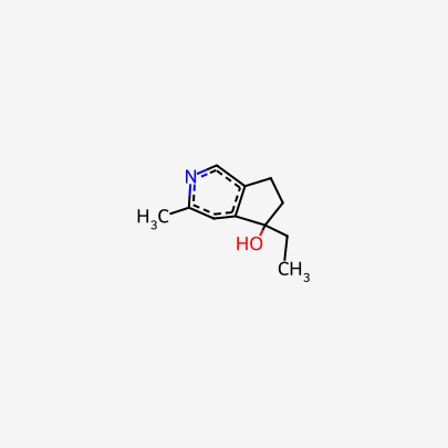 CCC1(O)CCc2cnc(C)cc21